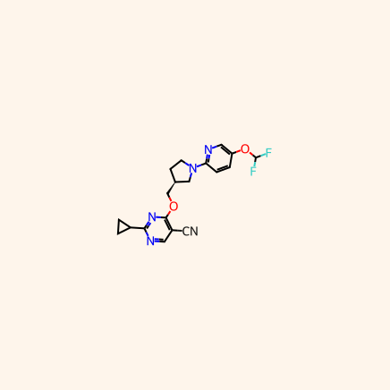 N#Cc1cnc(C2CC2)nc1OC[C@H]1CCN(c2ccc(OC(F)F)cn2)C1